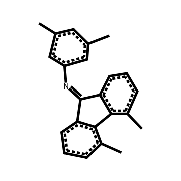 Cc1cc(C)cc(N=C2c3cccc(C)c3-c3c(C)cccc32)c1